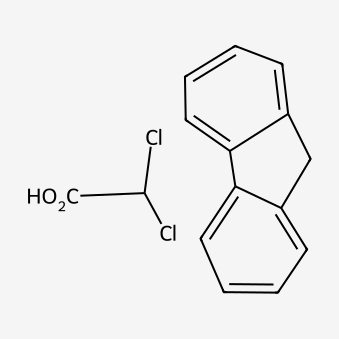 O=C(O)C(Cl)Cl.c1ccc2c(c1)Cc1ccccc1-2